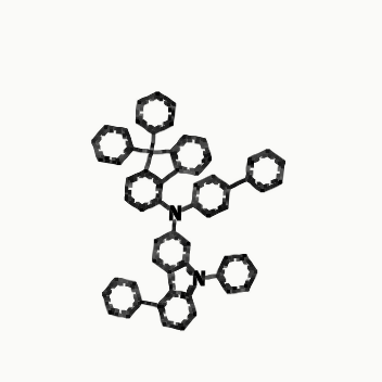 c1ccc(-c2ccc(N(c3ccc4c5c(-c6ccccc6)cccc5n(-c5ccccc5)c4c3)c3cccc4c3-c3ccccc3C4(c3ccccc3)c3ccccc3)cc2)cc1